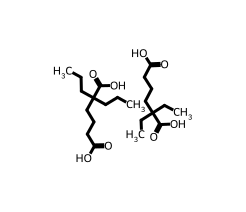 CCC(CC)(CCCC(=O)O)C(=O)O.CCCC(CCC)(CCCC(=O)O)C(=O)O